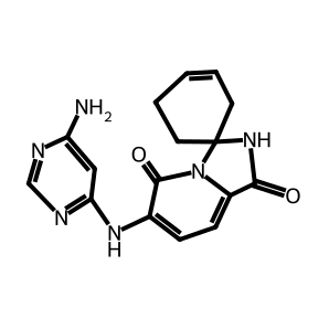 Nc1cc(Nc2ccc3n(c2=O)C2(CC=CCC2)NC3=O)ncn1